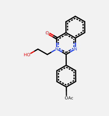 CC(=O)Oc1ccc(-c2nc3ccccc3c(=O)n2CCO)cc1